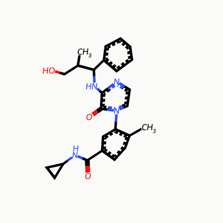 Cc1ccc(C(=O)NC2CC2)cc1-n1ccnc(NC(c2ccccc2)C(C)CO)c1=O